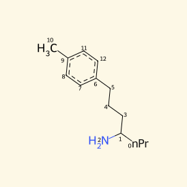 CCCC(N)CCCc1ccc(C)cc1